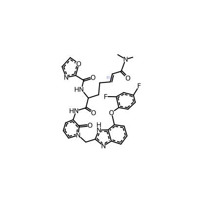 CN(C)C(=O)/C=C/CCC(NC(=O)c1ncco1)C(=O)Nc1cccn(Cc2nc3cccc(Oc4ccc(F)cc4F)c3[nH]2)c1=O